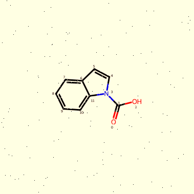 O=C(O)n1c[c]c2ccccc21